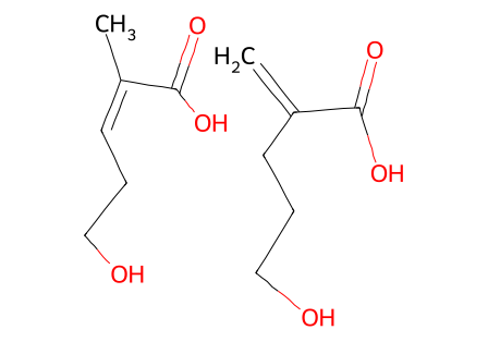 C=C(CCCO)C(=O)O.CC(=CCCO)C(=O)O